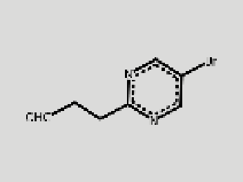 O=CCCc1ncc(Br)cn1